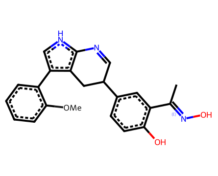 COc1ccccc1-c1c[nH]c2c1CC(c1ccc(O)c(/C(C)=N/O)c1)C=N2